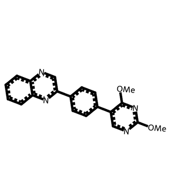 COc1ncc(-c2ccc(-c3cnc4ccccc4n3)cc2)c(OC)n1